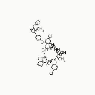 C[C@H]1C(=O)N[C@@H](CO)C(=O)N(C)[C@H](Cc2ccc(Cl)cc2)CN(C)C(=O)[C@H]([C@H]2CCc3ccccc32)CC(=O)N1Cc1ccc(Cl)cc1Oc1ccc(-c2cnc(CN3CCCC3)n2C)cc1